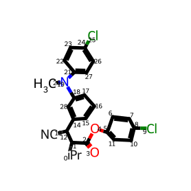 CC(C)C(C(=O)Oc1ccc(Cl)cc1)C(C#N)c1cccc(N(C)c2ccc(Cl)cc2)c1